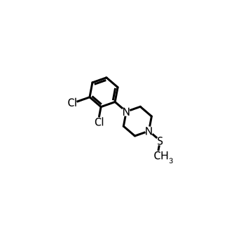 CSN1CCN(c2cccc(Cl)c2Cl)CC1